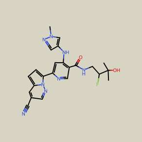 Cn1cc(Nc2cc(-c3ccc4cc(C#N)cnn34)ncc2C(=O)NCC(F)C(C)(C)O)cn1